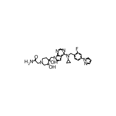 NC(=O)CN1CC[C@](O)(Cn2ccc3c(N(Cc4ccc(-n5cccn5)cc4F)C4CC4)ncnc32)[C@@H](O)C1